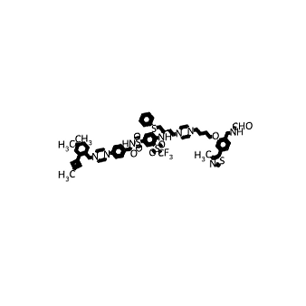 Cc1ncsc1-c1ccc(CNC=O)c(OCCCCN2CCN(CC[C@H](CSc3ccccc3)Nc3ccc(S(=O)(=O)NC(=O)c4ccc(N5CCN(CC6=C(C78CC(C)(C7)C8)CC(C)(C)CC6)CC5)cc4)cc3S(=O)(=O)C(F)(F)F)CC2)c1